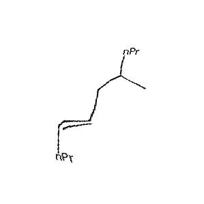 CCCC=CCC(C)CCC